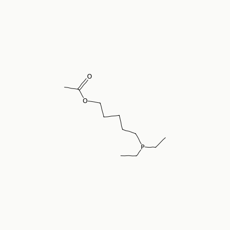 CCP(CC)CCCCCOC(C)=O